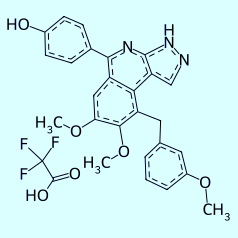 COc1cccc(Cc2c(OC)c(OC)cc3c(-c4ccc(O)cc4)nc4[nH]ncc4c23)c1.O=C(O)C(F)(F)F